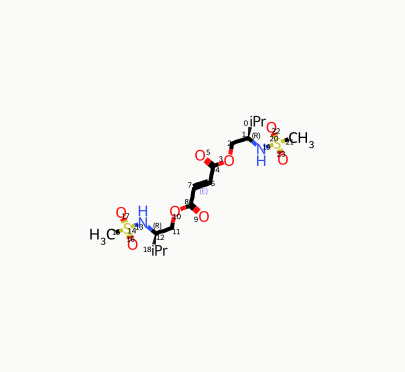 CC(C)[C@H](COC(=O)/C=C/C(=O)OC[C@H](NS(C)(=O)=O)C(C)C)NS(C)(=O)=O